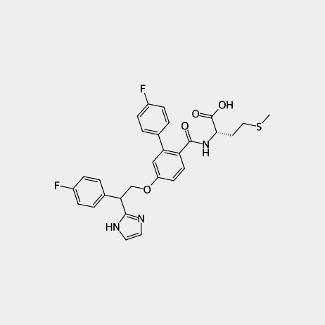 CSCC[C@H](NC(=O)c1ccc(OCC(c2ccc(F)cc2)c2ncc[nH]2)cc1-c1ccc(F)cc1)C(=O)O